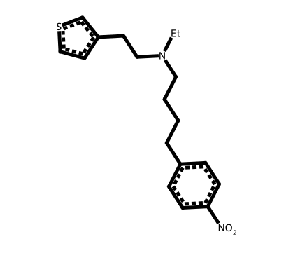 CCN(CCCCc1ccc([N+](=O)[O-])cc1)CCc1ccsc1